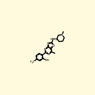 Cc1nc(-c2ccc(C(F)(F)F)cc2O)nc2nc(N[C@@H]3CCCN(C)C3)oc12